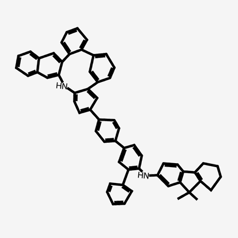 CC1(C)C2=C(CCCC2)c2ccc(Nc3ccc(-c4ccc(-c5ccc6c(c5)-c5cccc(c5)-c5ccccc5-c5cc7ccccc7cc5N6)cc4)cc3-c3ccccc3)cc21